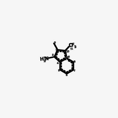 Cc1c(N)c2ccccn2c1C(F)(F)F